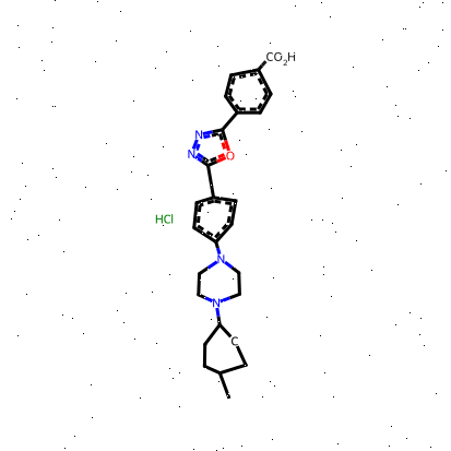 CC1CCC(N2CCN(c3ccc(-c4nnc(-c5ccc(C(=O)O)cc5)o4)cc3)CC2)CC1.Cl